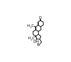 CC1=C2CCC3(C)C(O)C(CBr)CC3C2CC2CCC(=O)C=C12